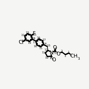 CCCCOC(=O)N1C(=O)CC[C@H]1Cc1ccc(-c2cc(Cl)ccc2F)cc1